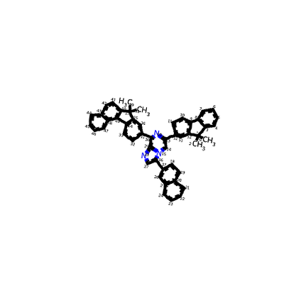 CC1(C)c2ccccc2-c2ccc(-c3cn4c(-c5ccc6ccccc6c5)cnc4c(-c4ccc5c(c4)C(C)(C)c4ccc6ccccc6c4-5)n3)cc21